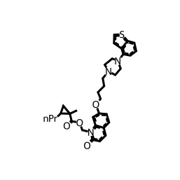 CCCC1CC1(C)C(=O)OCn1c(=O)ccc2ccc(OCCCCN3CCN(c4cccc5sccc45)CC3)cc21